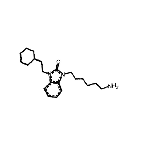 NCCCCCCn1c(=O)n(CCC2CCCCC2)c2ccccc21